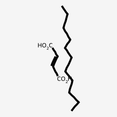 CCCCCCCCCCC.O=C(O)/C=C/C(=O)O